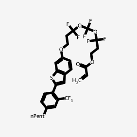 C=CC(=O)OCCC(F)(F)OC(F)(F)OC(F)(F)CCOc1ccc2cc(-c3ccc(CCCCC)cc3C(F)(F)F)sc2c1